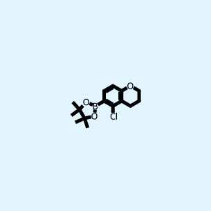 CC1(C)OB(c2ccc3c(c2Cl)CCCO3)OC1(C)C